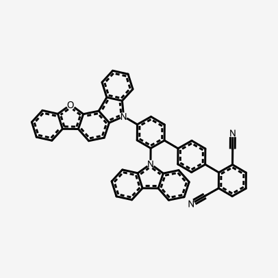 N#Cc1cccc(C#N)c1-c1ccc(-c2ccc(-n3c4ccccc4c4c5oc6ccccc6c5ccc43)cc2-n2c3ccccc3c3ccccc32)cc1